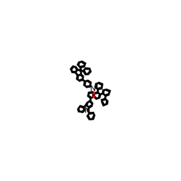 c1ccc(-c2ccccc2-c2ccccc2-c2ccccc2N(c2ccc(-c3ccc4c(c3)C(c3ccccc3)(c3ccccc3)c3ccccc3-4)cc2)c2ccc(-c3ccc4c(c3)c3ccccc3n4-c3ccccc3)cc2)cc1